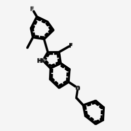 Cc1cc(F)ccc1-c1[nH]c2ccc(OCc3ccccc3)cc2c1F